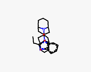 CCc1nc2ccccc2n1C1CC2CCCC(C1)N2C1CC2CCCC(C2)C1